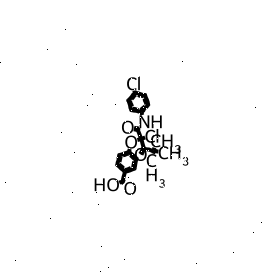 CC(C)(C)C(=O)C(Cl)(Oc1ccc(C(=O)O)cc1)C(=O)Nc1ccc(Cl)cc1